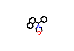 c1ccc(C(c2cccc3ccccc23)N2CCOCC2)cc1